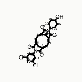 C=C1/C2=C\C=C3/C/C(=C\C=C/1C(=O)N(N1CCC(O)CC1)C2=O)C(=O)N(c1cc(Cl)nc(Cl)c1)C3=O